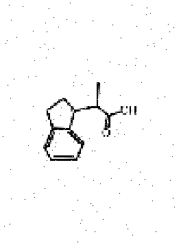 CC([C]1CCc2ccccc21)C(=O)O